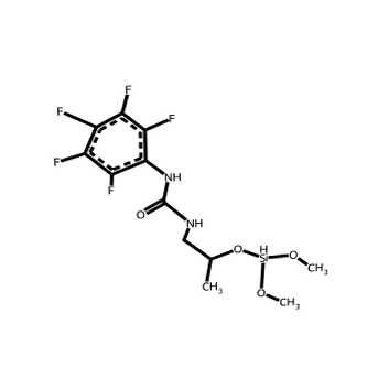 CO[SiH](OC)OC(C)CNC(=O)Nc1c(F)c(F)c(F)c(F)c1F